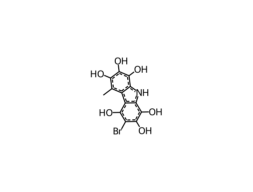 Cc1c(O)c(O)c(O)c2[nH]c3c(O)c(O)c(Br)c(O)c3c12